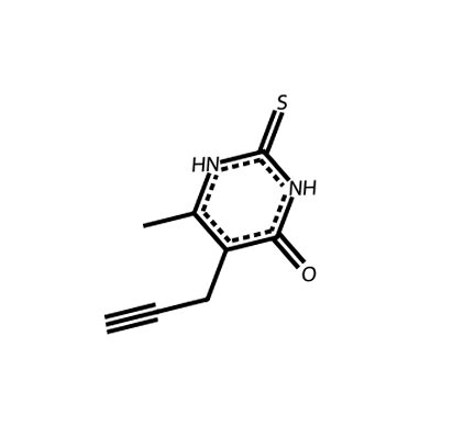 C#CCc1c(C)[nH]c(=S)[nH]c1=O